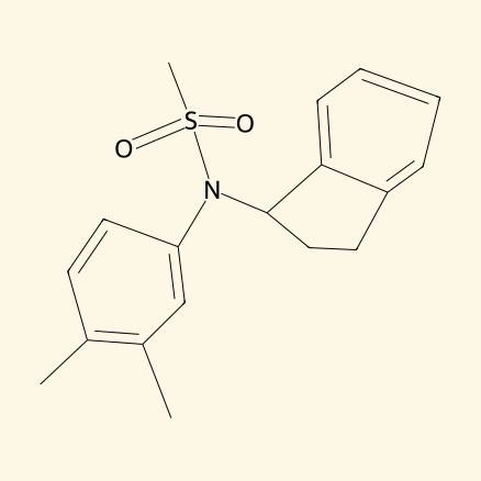 Cc1ccc(N(C2CCc3ccccc32)S(C)(=O)=O)cc1C